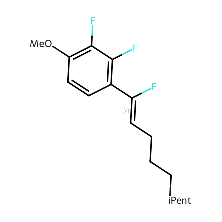 CCCC(C)CCC/C=C(\F)c1ccc(OC)c(F)c1F